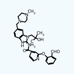 CN1CCN(Cc2ccc3[nH]/c(=N\C(=O)c4ccnc(Oc5ccccc5C=O)c4)n(CC(C)(C)O)c3c2)CC1